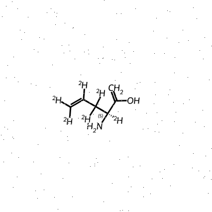 [2H]C([2H])=C([2H])C([2H])([2H])[C@]([2H])(N)C(=C)O